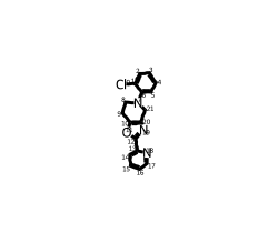 Clc1ccccc1N1CCc2oc(-c3ccccn3)nc2C1